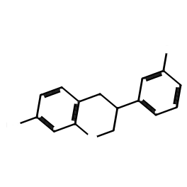 Oc1ccc2c(c1)OCC(c1cccc(F)c1)C2